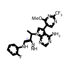 COc1nc(C(F)(F)F)ncc1-c1cn(C(C)/C(=C/Nc2ccccc2F)N=N)c2ncnc(N)c12